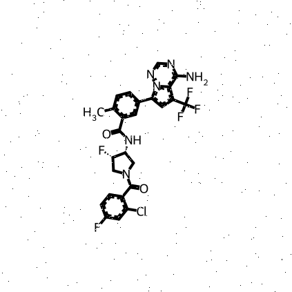 Cc1ccc(-c2cc(C(F)(F)F)c3c(N)ncnn23)cc1C(=O)N[C@@H]1CN(C(=O)c2ccc(F)cc2Cl)C[C@@H]1F